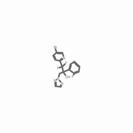 OC(Cn1nccn1)(c1ccccc1F)C(F)(F)c1ccc(Br)cn1